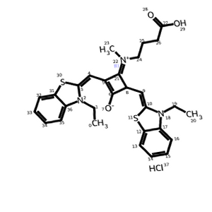 CCN1C(=CC2=C([O-])C(C=C3Sc4ccccc4N3CC)/C2=[N+](/C)CCCC(=O)O)Sc2ccccc21.Cl